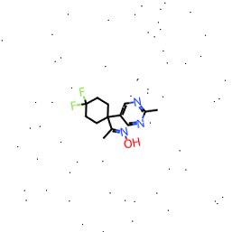 CC(=NO)C1(c2cnc(C)nc2)CCC(F)(F)CC1